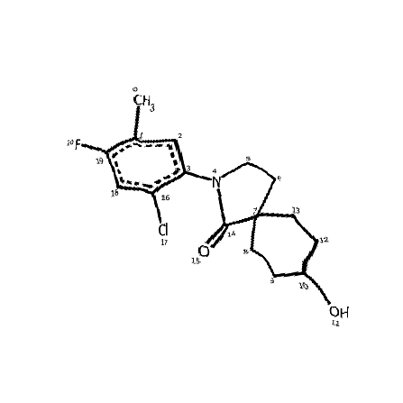 Cc1cc(N2CCC3(CCC(O)CC3)C2=O)c(Cl)cc1F